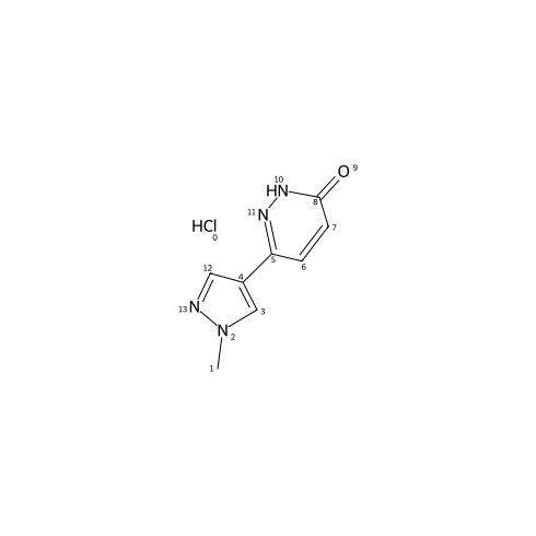 Cl.Cn1cc(-c2ccc(=O)[nH]n2)cn1